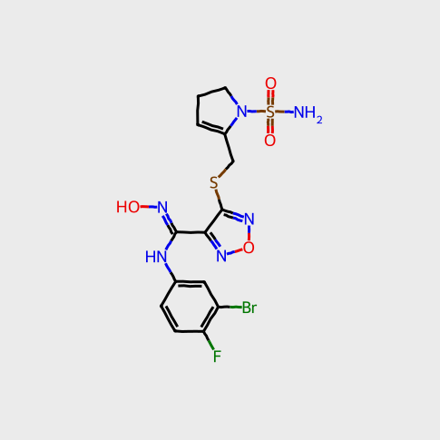 NS(=O)(=O)N1CCC=C1CSc1nonc1/C(=N/O)Nc1ccc(F)c(Br)c1